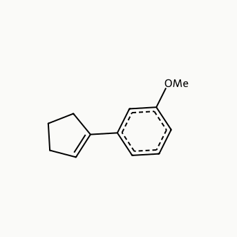 COc1cccc(C2=CCCC2)c1